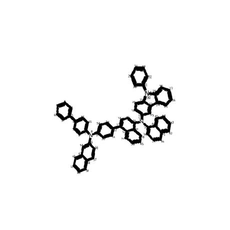 c1ccc(-c2ccc(N(c3ccc(-c4ccc(N(c5ccc6c(c5)c5ccccc5n6-c5ccccc5)c5cccc6ccccc56)c5ccccc45)cc3)c3ccc4ccccc4c3)cc2)cc1